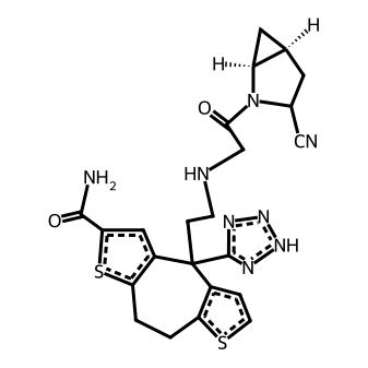 N#CC1C[C@@H]2C[C@@H]2N1C(=O)CNCCC1(c2nn[nH]n2)c2ccsc2CCc2sc(C(N)=O)cc21